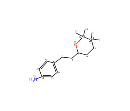 C[Si]1(C)CCC(CCc2ccc(N)cc2)O[Si]1(C)C